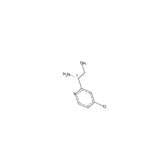 N[C@H](CO)c1cc(Cl)ccn1